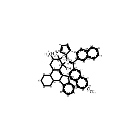 CC1CC2C(=C3Cc4ccccc4C3C3CCCCC23)[C](C)([Zr+2](=[C](c2ccc3ccccc3c2)c2ccc3ccccc3c2)[CH]2C=CC=C2)C1(C)C.[Cl-].[Cl-]